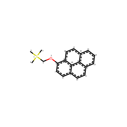 CS(C)(C)COc1ccc2ccc3cccc4ccc1c2c34